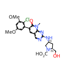 COc1cc(OC)c(Cl)c(-c2cc3cnc(N[C@H]4C[C@@H](CO)N(C(=O)O)C4)nc3n(C)c2=O)c1